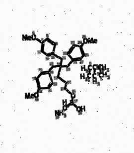 CC.CC.CC.COc1ccc(CC(CCCOB(O)O)(Cc2ccc(OC)cc2)Cc2ccc(OC)cc2)cc1.N